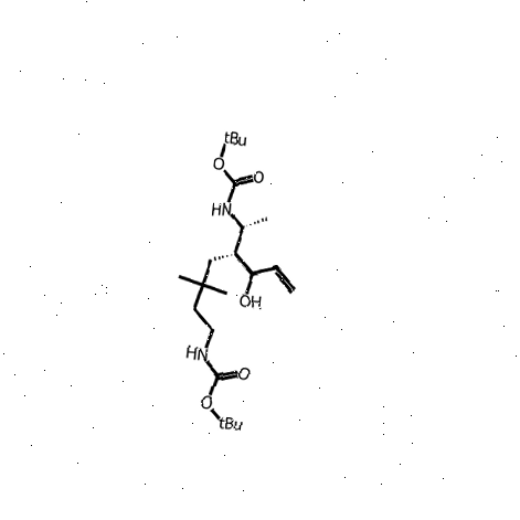 C=CC(O)[C@H](CC(C)(C)CCNC(=O)OC(C)(C)C)[C@@H](C)NC(=O)OC(C)(C)C